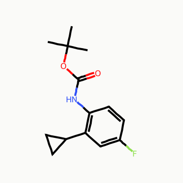 CC(C)(C)OC(=O)Nc1ccc(F)cc1C1CC1